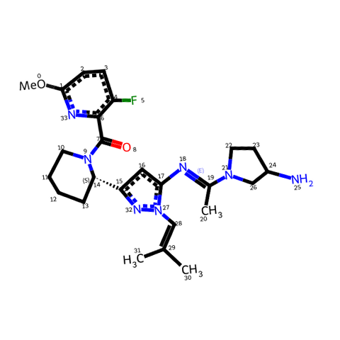 COc1ccc(F)c(C(=O)N2CCCC[C@H]2c2cc(/N=C(\C)N3CCC(N)C3)n(C=C(C)C)n2)n1